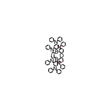 c1ccc(N(c2ccccc2)c2cc3c4c(c2)N(c2ccccc2)c2cccc5c2B4c2cc4c(cc2N3c2ccccc2)N(c2ccccc2)c2cc(N(c3ccccc3)c3ccccc3)cc3c2B4c2c(cccc2N3c2ccccc2)O5)cc1